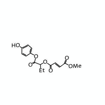 CCC(OC(=O)C=CC(=O)OC)C(=O)Oc1ccc(O)cc1